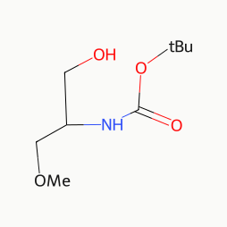 COCC(CO)NC(=O)OC(C)(C)C